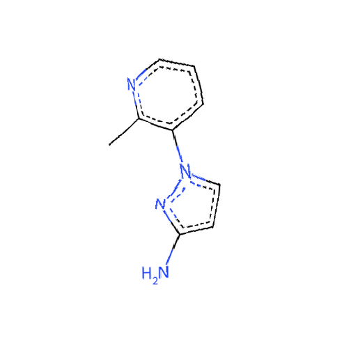 Cc1ncccc1-n1ccc(N)n1